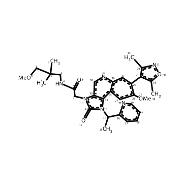 COCC(C)(C)CNC(=O)Cn1c(=O)n(C(C)c2ccccn2)c2c3cc(OC)c(-c4c(C)noc4C)cc3ncc21